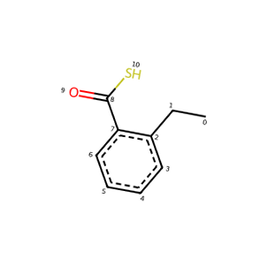 CCc1ccccc1C(=O)S